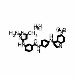 Cc1cc(Nc2cccc(C(=O)Nc3ccc(Nc4ccnc5ccc([N+](=O)[O-])cc45)cc3)c2)nc(N)n1.Cl.Cl